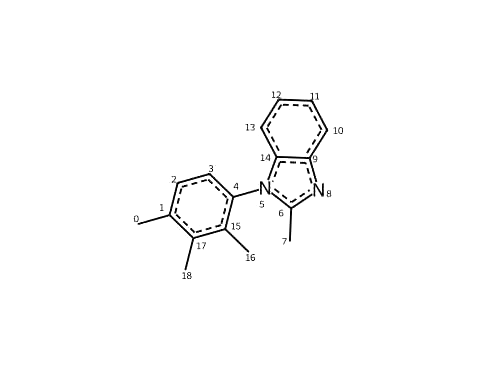 Cc1ccc(-n2c(C)nc3ccccc32)c(C)c1C